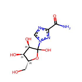 NC(=O)c1ncn(C2(O)O[C@H](CO)[C@@H](O)[C@H]2O)n1